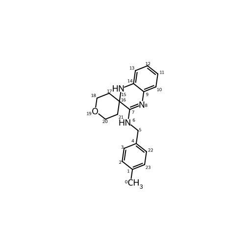 Cc1ccc(CNC2=Nc3ccccc3NC23CCOCC3)cc1